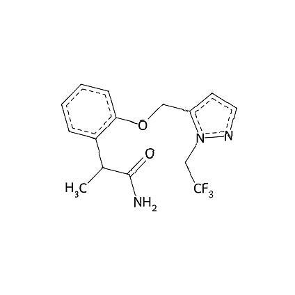 CC(C(N)=O)c1ccccc1OCc1ccnn1CC(F)(F)F